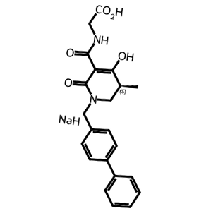 C[C@H]1CN(Cc2ccc(-c3ccccc3)cc2)C(=O)C(C(=O)NCC(=O)O)=C1O.[NaH]